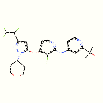 CC(C)(O)c1cc(Nc2nccc(Oc3cc(C(F)C(F)F)nn3C3CCOCC3)c2F)ccn1